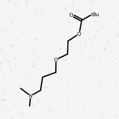 CN(C)CCCOCCOC(=O)C(C)(C)C